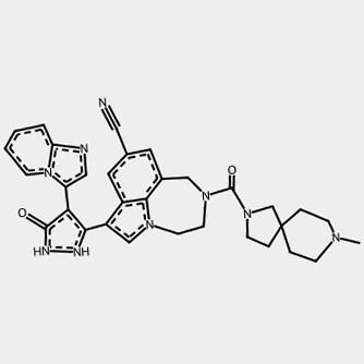 CN1CCC2(CC1)CCN(C(=O)N1CCn3cc(-c4[nH][nH]c(=O)c4-c4cnc5ccccn45)c4cc(C#N)cc(c43)C1)C2